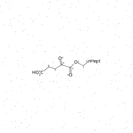 CCCCCCCCOC(=O)C(=O)CCC(=O)O